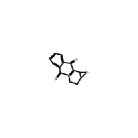 O=C1C2=C(C(=O)c3ccccc31)C1OC1CC2